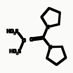 O=C(N1CCCC1)N1CCCC1.O=S(=O)(O)OS(=O)(=O)O